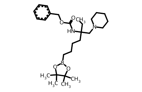 CCC(CCCCB1OC(C)(C)C(C)(C)O1)(CN1CCCCC1)NC(=O)OCc1ccccc1